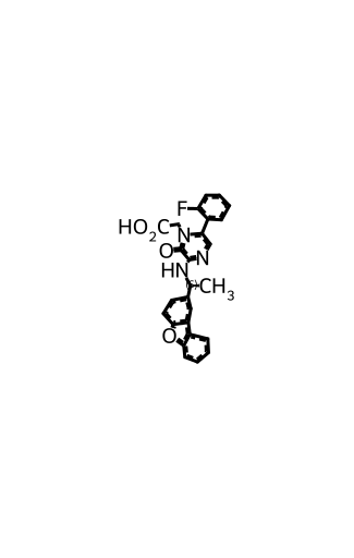 C[C@H](Nc1ncc(-c2ccccc2F)n(CC(=O)O)c1=O)c1ccc2oc3ccccc3c2c1